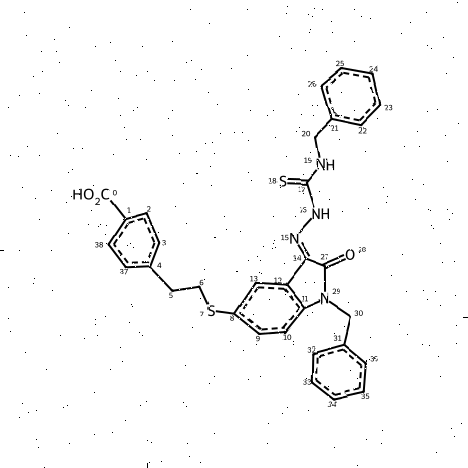 O=C(O)c1ccc(CCSc2ccc3c(c2)C(=NNC(=S)NCc2ccccc2)C(=O)N3Cc2ccccc2)cc1